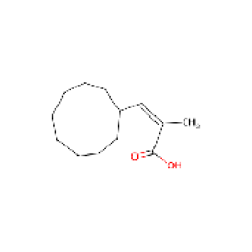 CC(=CC1CCCCCCCC1)C(=O)O